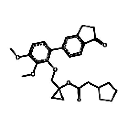 COc1ccc(-c2ccc3c(c2)CCC3=O)c(OCC2(OC(=O)CC3CCCC3)CC2)c1OC